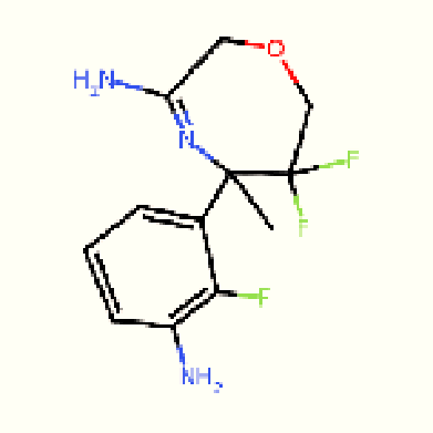 CC1(c2cccc(N)c2F)N=C(N)COCC1(F)F